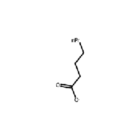 CCCCCCC([O])=O